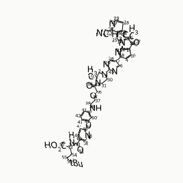 C[C@@H]1CN(c2ncc(-c3ccc4c(n3)N(Cc3cccnc3C#N)C(C)(C)C4=O)cn2)CCN1C(=O)COCCNc1cccc(Oc2ccc(C(=O)N[C@@H](CCC(C)(C)C)C(=O)O)cn2)c1